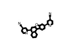 N#Cc1ccnc(-c2ccc3c(c2)oc2cc(-c4cc(C#N)ccn4)c4ccccc4c23)c1